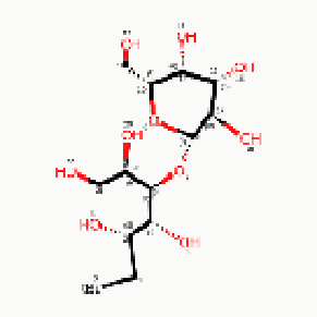 CC(C)(C)C[C@H](O)[C@@H](O)[C@H](O[C@@H]1O[C@H](CO)[C@H](O)[C@H](O)[C@H]1O)[C@H](O)CO